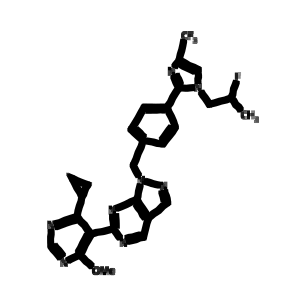 COc1ncnc(C2CC2)c1-c1ncc2cnn(Cc3ccc(-c4nc(C(F)(F)F)cn4CC(C)F)cc3)c2n1